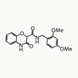 COc1ccc(CNC(=O)C2Oc3ccccc3NC2=O)c(OC)c1